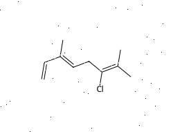 C=CC(C)=CCC(Cl)=C(C)C